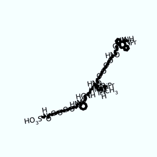 CC(C)C(=O)[C@H](C)NC(=O)[C@@H](NC(=O)[C@@H](CCCCCNC(=O)COC1CCCCCC2=C1NNN2CCOCCOCCOCCOCCC(=O)NCCS(=O)(=O)O)NC(=O)CCOCCOCCOCCOCCNC(=O)CCC(=O)N1Cc2ccccc2C2=C(NNN2C(C)C)c2ccccc21)C(C)C